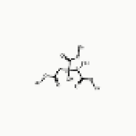 CC(C)OC(=O)C[C@](O)(C(=O)OC(C)C)[C@H](O)C(=O)OC(C)C